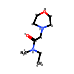 CCN(C)C(=O)CN1CCOCC1